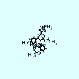 CCOC(=O)CC(CCc1cnn(C)n1)c1ccc(C)c(CN2C[C@@H](C)Oc3ccccc3S2(O)O)c1